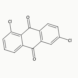 O=C1c2cc(Cl)ccc2C(=O)c2c(Cl)cccc21